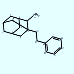 NC1C2CC3CC(C2)CC1(CCc1ccccc1)C3